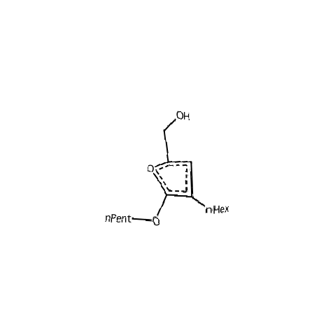 CCCCCCc1cc(CO)oc1OCCCCC